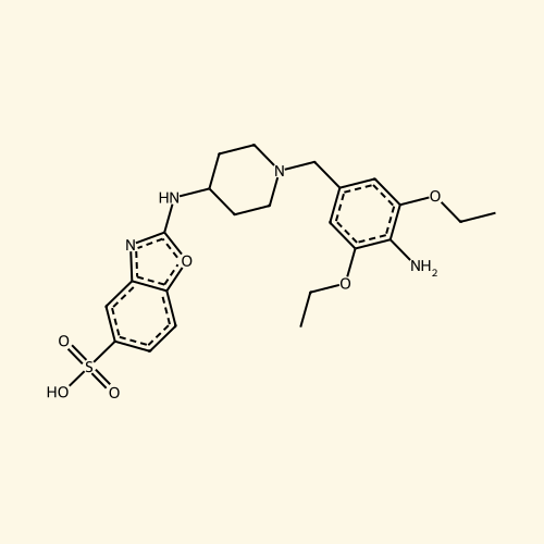 CCOc1cc(CN2CCC(Nc3nc4cc(S(=O)(=O)O)ccc4o3)CC2)cc(OCC)c1N